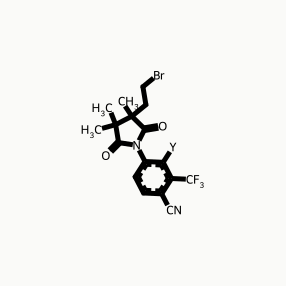 CC1(C)C(=O)N(c2ccc(C#N)c(C(F)(F)F)[c]2[Y])C(=O)C1(C)CCBr